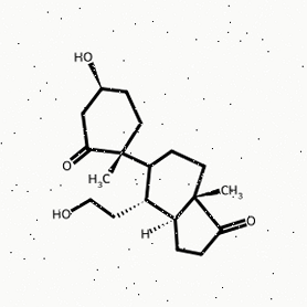 C[C@]1(C2CC[C@]3(C)C(=O)CC[C@H]3[C@@H]2CCO)CC[C@H](O)CC1=O